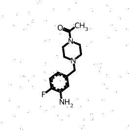 CC(=O)N1CCN(Cc2ccc(F)c(N)c2)CC1